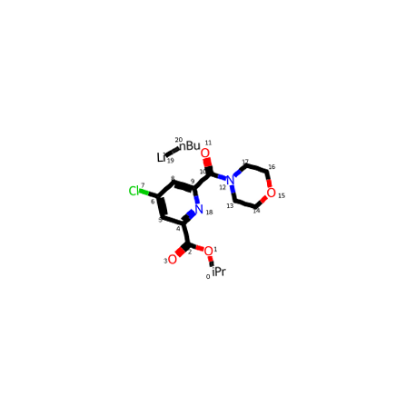 CC(C)OC(=O)c1cc(Cl)cc(C(=O)N2CCOCC2)n1.[Li][CH2]CCC